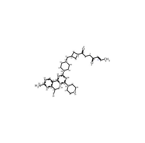 C/C=C/C(=O)CCC(=O)N1CC(CN2CCN(c3nc(-c4cnc(N)nc4C(F)F)nc(N4CCOCC4)n3)CC2)C1